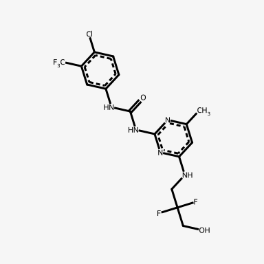 Cc1cc(NCC(F)(F)CO)nc(NC(=O)Nc2ccc(Cl)c(C(F)(F)F)c2)n1